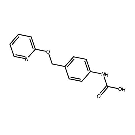 O=C(O)Nc1ccc(COc2ccccn2)cc1